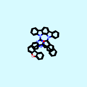 c1ccc(-c2cc(-c3ccccc3)cc(-n3c4ccccc4c4ccc5c6ccccc6n(-c6nc(-c7ccccc7)nc(-c7cccc8oc9ccccc9c78)n6)c5c43)c2)cc1